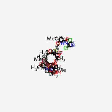 CC[C@H]1OC(=O)[C@H](C)[C@@H](O[C@H]2C[C@@](C)(OC)[C@@H](O)[C@H](C)O2)[C@H](C)[C@@H](O[C@@H]2O[C@H](C)C[C@H](N(C)C(=O)N3CCOCC3)[C@H]2O)[C@](C)(OC)C[C@@H](C)C(=O)[C@H](C)[C@H]2[C@H](SCCCOc3cc(C(=O)Nc4c(Cl)cncc4Cl)ccc3OC)C(=O)O[C@@]21C